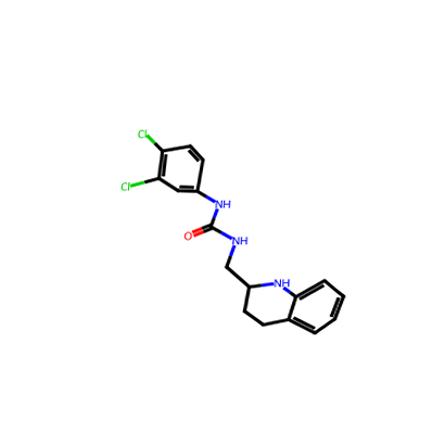 O=C(NCC1CCc2ccccc2N1)Nc1ccc(Cl)c(Cl)c1